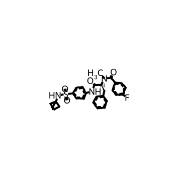 CN(C(=O)c1ccc(F)cc1)[C@@H](Cc1ccccc1)C(=O)Nc1ccc(S(=O)(=O)NC23CC(C2)C3)cc1